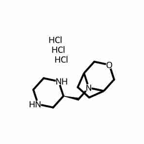 C1CN[C@@H](CN2C3CCC2COC3)CN1.Cl.Cl.Cl